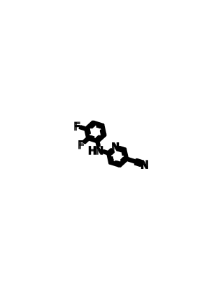 N#Cc1ccc(Nc2cccc(F)c2F)nc1